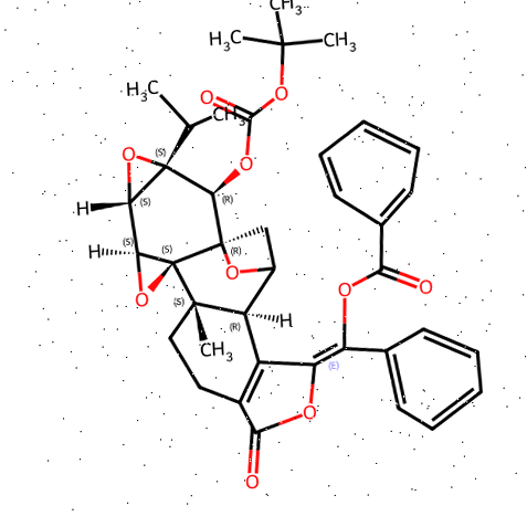 CC(C)[C@]12O[C@H]1[C@@H]1O[C@@]13[C@@]1(C)CCC4=C(/C(=C(\OC(=O)c5ccccc5)c5ccccc5)OC4=O)[C@@H]1C1C[C@@]3(O1)[C@@H]2OC(=O)OC(C)(C)C